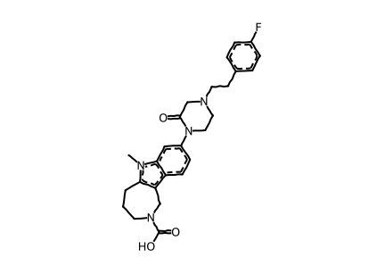 Cn1c2c(c3ccc(N4CCN(CCc5ccc(F)cc5)CC4=O)cc31)CN(C(=O)O)CCC2